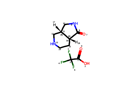 O=C(O)C(F)(F)F.O=C1NC[C@H]2CNCC[C@@H]12